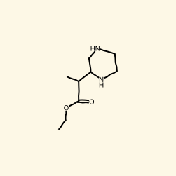 CCOC(=O)C(C)C1CNCCN1